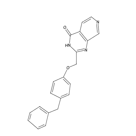 O=c1[nH]c(COc2ccc(Cc3ccccc3)cc2)nc2cnccc12